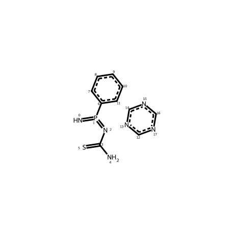 N=P(=NC(N)=S)c1ccccc1.c1ncncn1